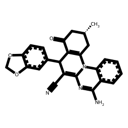 C[C@H]1CC(=O)C2=C(C1)N1C(=C(C#N)C2c2ccc3c(c2)OCO3)N=C(N)c2ccccc21